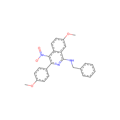 COc1ccc(-c2nc(NCc3ccccc3)c3cc(OC)ccc3c2[N+](=O)[O-])cc1